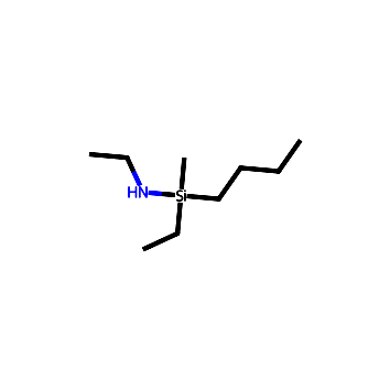 CCCC[Si](C)(CC)NCC